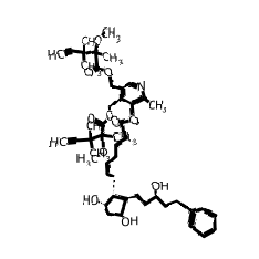 C#CC(C)(C)C(C)(OC)C(=O)OCc1cnc(C)c(OC(=O)CCC/C=C\C[C@@H]2[C@@H](CC[C@@H](O)CCc3ccccc3)[C@H](O)C[C@@H]2O)c1COC(=O)C(C)(OC)C(C)(C)C#C